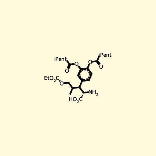 CCCC(C)C(=O)Oc1ccc(C(C(C)COC(=O)OCC)[C@H](N)C(=O)O)cc1OC(=O)C(C)CCC